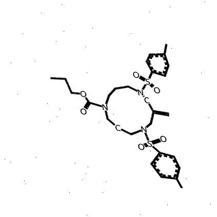 C=C1CN(S(=O)(=O)c2ccc(C)cc2)CCCN(C(=O)OCCC)CCCN(S(=O)(=O)c2ccc(C)cc2)C1